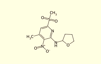 Cc1cc(S(C)(=O)=O)nc(NC2CCCO2)c1[N+](=O)[O-]